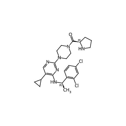 C[C@@H](Nc1nc(N2CCN(C(=O)[C@H]3CCCN3)CC2)ncc1C1CC1)c1ccc(Cl)cc1Cl